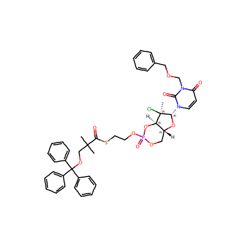 CC(C)(COC(c1ccccc1)(c1ccccc1)c1ccccc1)C(=O)SCCOP1(=O)OC[C@H]2O[C@@H](n3ccc(=O)n(COCc4ccccc4)c3=O)[C@](C)(Cl)[C@@H]2O1